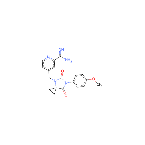 N=C(N)c1cc(CN2C(=O)N(c3ccc(OC(F)(F)F)cc3)C(=O)C23CC3)ccn1